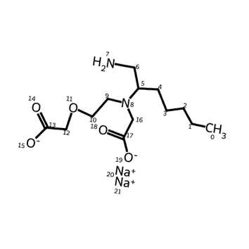 CCCCCC(CN)N(CCOCC(=O)[O-])CC(=O)[O-].[Na+].[Na+]